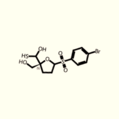 O=S(=O)(c1ccc(Br)cc1)C1CC[C@](CO)(C(O)S)O1